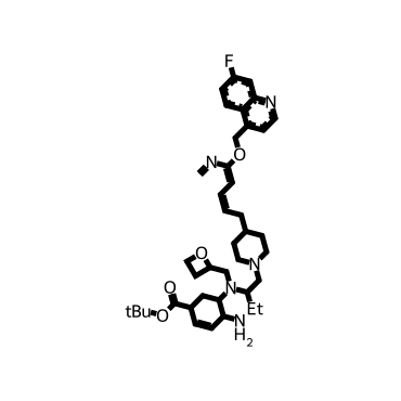 C=N/C(=C\C=C/CC1CCN(CC(CC)N(CC2CCO2)C2CC(C(=O)OC(C)(C)C)C=CC2N)CC1)OCc1ccnc2cc(F)ccc12